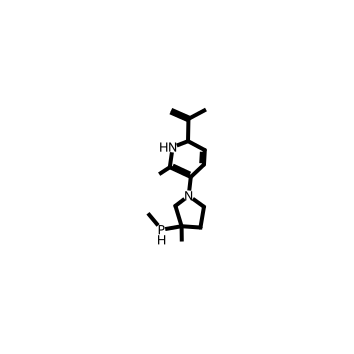 C=C(C)C1C=CC(N2CCC(C)(PC)C2)=C(C)N1